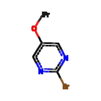 CC(C)Oc1cnc(Br)nc1